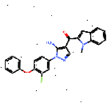 Cn1c(C(=O)c2cnn(-c3ccc(Oc4ccccc4)c(F)c3)c2N)cc2ccccc21